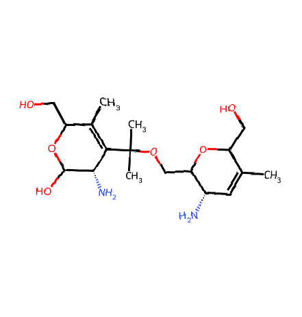 CC1=C[C@H](N)C(COC(C)(C)C2=C(C)C(CO)OC(O)[C@H]2N)OC1CO